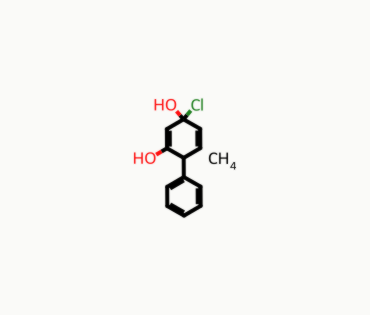 C.OC1=CC(O)(Cl)C=CC1c1ccccc1